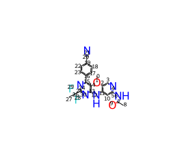 COc1cnc(NC(C)=O)cc1Nc1cc(-c2ccc(C#N)cc2)nc(C(C)(F)F)n1